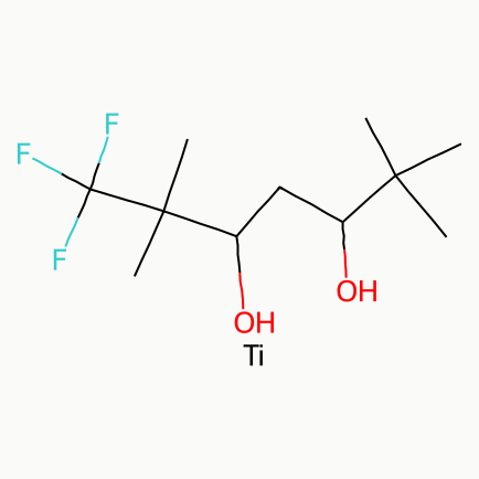 CC(C)(C)C(O)CC(O)C(C)(C)C(F)(F)F.[Ti]